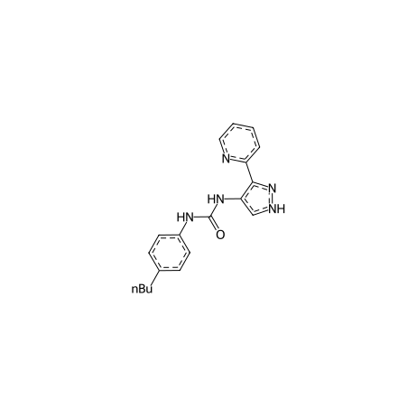 CCCCc1ccc(NC(=O)Nc2c[nH]nc2-c2ccccn2)cc1